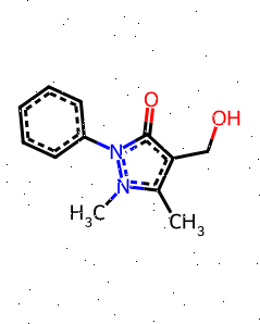 Cc1c(CO)c(=O)n(-c2ccccc2)n1C